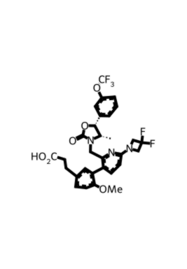 COc1ccc(CCC(=O)O)cc1-c1ccc(N2CC(F)(F)C2)nc1CN1C(=O)O[C@H](c2cccc(OC(F)(F)F)c2)[C@@H]1C